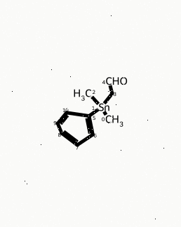 [CH3][Sn]([CH3])([CH2]C=O)[c]1ccccc1